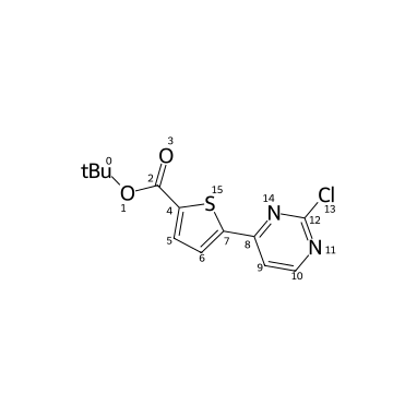 CC(C)(C)OC(=O)c1ccc(-c2ccnc(Cl)n2)s1